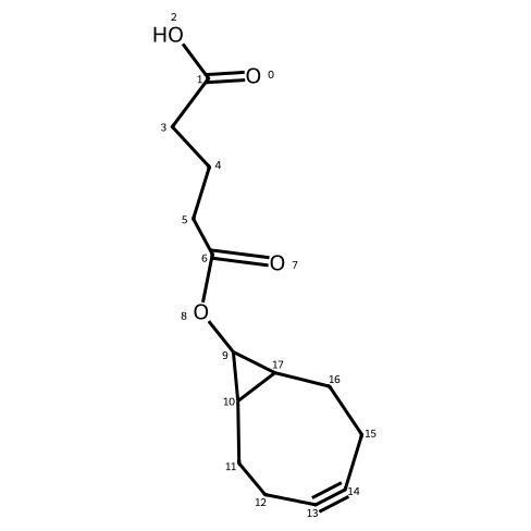 O=C(O)CCCC(=O)OC1C2CCC#CCCC21